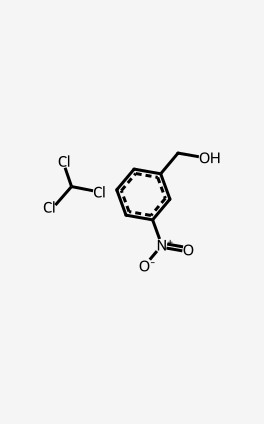 ClC(Cl)Cl.O=[N+]([O-])c1cccc(CO)c1